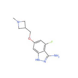 CN1CC(COc2cc(F)c3c(N)n[nH]c3c2)C1